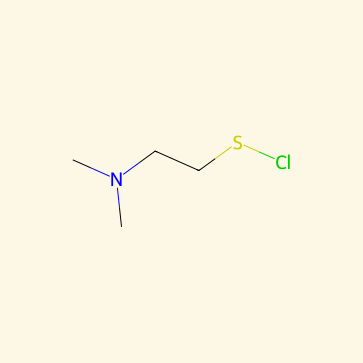 CN(C)CCSCl